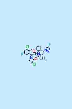 Cc1cc(-n2cc(F)cn2)c2cccc(OCc3c(Cl)cc(F)cc3[C@H](C)N3CC[C@H](Cl)C3=O)c2n1